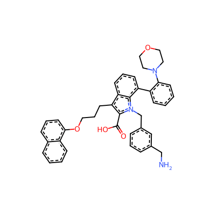 NCc1cccc(Cn2c(C(=O)O)c(CCCOc3cccc4ccccc34)c3cccc(-c4ccccc4N4CCOCC4)c32)c1